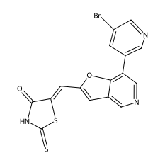 O=C1NC(=S)S/C1=C\c1cc2cncc(-c3cncc(Br)c3)c2o1